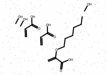 C=C(OCCCCCC)C(=O)O.C=CC(=O)O.C=CC(=O)O.CO.CO.CO